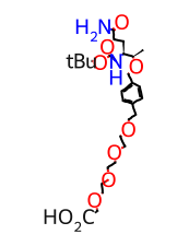 C[C@@H](OCc1ccc(CCOCCOCCOCCOCC(=O)O)cc1)[C@H](CCC(N)=O)NC(=O)OC(C)(C)C